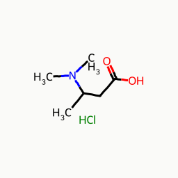 CC(CC(=O)O)N(C)C.Cl